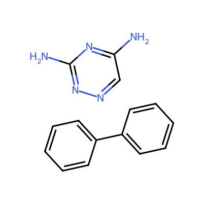 Nc1cnnc(N)n1.c1ccc(-c2ccccc2)cc1